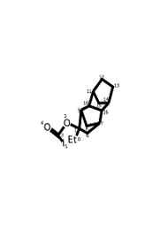 CCC1(OC(=O)I)CC2CC1C1C3CCC(C3)C21